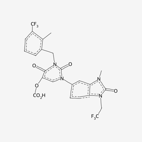 Cc1c(Cn2c(=O)c(OC(=O)O)cn(-c3ccc4c(c3)n(C)c(=O)n4CC(F)(F)F)c2=O)cccc1C(F)(F)F